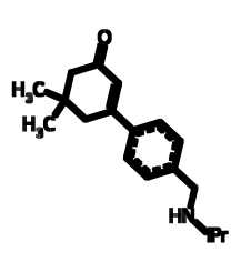 CC(C)NCc1ccc(C2=CC(=O)CC(C)(C)C2)cc1